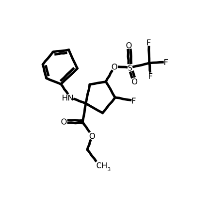 CCOC(=O)C1(Nc2ccccc2)CC(F)C(OS(=O)(=O)C(F)(F)F)C1